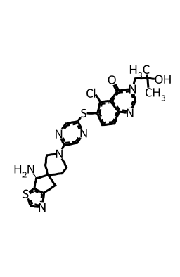 CC(C)(O)Cn1cnc2ccc(Sc3cnc(N4CCC5(CC4)Cc4ncsc4[C@@H]5N)cn3)c(Cl)c2c1=O